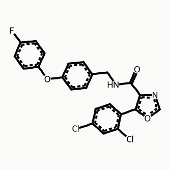 O=C(NCc1ccc(Oc2ccc(F)cc2)cc1)c1ncoc1-c1ccc(Cl)cc1Cl